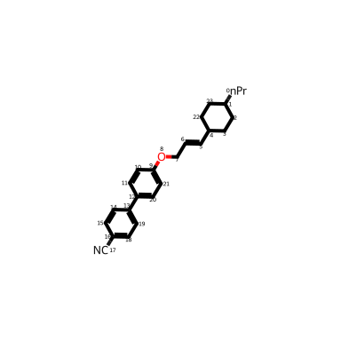 CCCC1CCC(/C=C/COc2ccc(-c3ccc(C#N)cc3)cc2)CC1